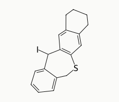 IC1c2ccccc2CSc2cc3c(cc21)CCCC3